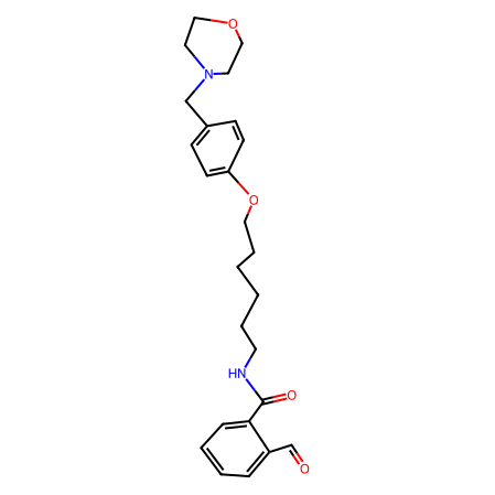 O=Cc1ccccc1C(=O)NCCCCCCOc1ccc(CN2CCOCC2)cc1